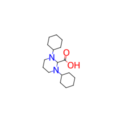 O=C(O)C1N(C2CCCCC2)CCCN1C1CCCCC1